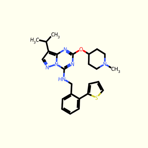 CC(C)c1cnn2c(NCc3ccccc3-c3cccs3)nc(OC3CCN(C)CC3)nc12